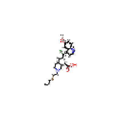 CCCSCCN1CC[C@@H](CC[C@@H](F)c2ccnc3ccc(OC)cc23)[C@@H](CC(=O)O)C1